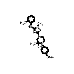 COc1ccc(N2CCN(c3nc(Nc4ccccc4C)n(C)n3)CC2(C)C)cc1